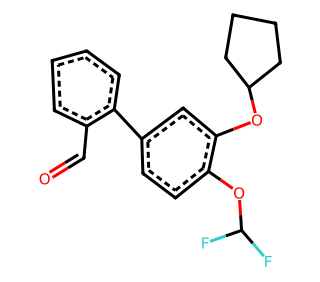 O=Cc1ccccc1-c1ccc(OC(F)F)c(OC2CCCC2)c1